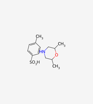 CC1CNCC(C)O1.Cc1ccc(S(=O)(=O)O)cc1